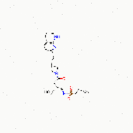 O=C(O)[C@@H](/C=N/S(=O)(=O)CCC(F)(F)F)CC(=O)N1CC(CCc2ccc3c(n2)NCCC3)C1